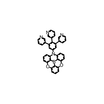 c1cncc(-c2cc(N3c4cccc5c4B4c6c(cccc6Oc6cccc3c64)O5)cc(-c3cccnc3)c2-c2cccnc2)c1